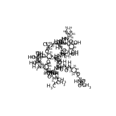 CN[C@H](CC(C)C)C(=O)N[C@H]1C(=O)N[C@@H](CC(=O)NC(=O)Nc2ccc(OCCNS(C)(=O)=O)cc2)C(=O)N[C@H]2C(=O)N[C@H]3C(=O)N[C@H](C(=O)N[C@H](C(=O)NC4C5CC6CC(C5)CC4C6)c4cc(O)cc(O)c4-c4cc3ccc4O)[C@H](O)c3ccc(c(Cl)c3)Oc3cc2cc2c3O[C@@H]3O[C@H](C(N)c4cc(ccc4O2)[C@H]1O)[C@@H](O)[C@H](O)[C@H]3O